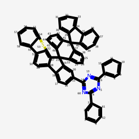 c1ccc(-c2nc(-c3ccccc3)nc(-c3ccc4c(c3)C3(c5ccccc5C5(c6ccccc6-c6ccccc65)c5ccccc53)c3c-4ccc4c3sc3ccccc34)n2)cc1